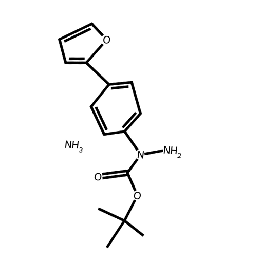 CC(C)(C)OC(=O)N(N)c1ccc(-c2ccco2)cc1.N